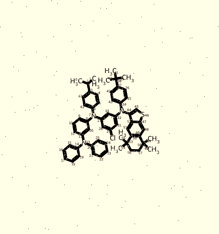 CC(C)c1ccc(N(c2cccc(N(c3ccccc3)c3ccccc3)c2)c2cc(Cl)cc(N(c3ccc(C(C)(C)C)cc3)c3csc4cc5c(cc34)C(C)(C)CCC5(C)C)c2)cc1